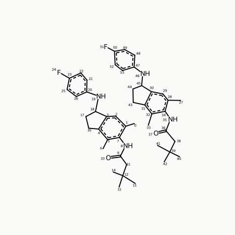 Cc1cc2c(c(C)c1NC(=O)CC(C)(C)C)CCC2Nc1ccc(F)cc1.Cc1cc2c(c(C)c1NC(=O)CC(C)(C)C)CCC2Nc1ccc(F)cc1